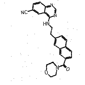 N#Cc1ccc2ncnc(NCCc3ccc4ccc(C(=O)N5CCOCC5)cc4c3)c2c1